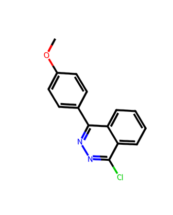 COc1ccc(-c2nnc(Cl)c3ccccc23)cc1